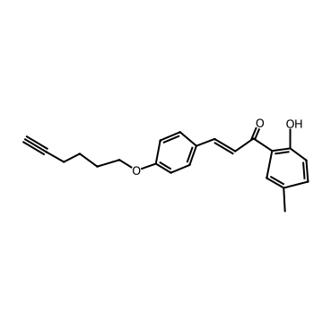 C#CCCCCOc1ccc(/C=C/C(=O)c2cc(C)ccc2O)cc1